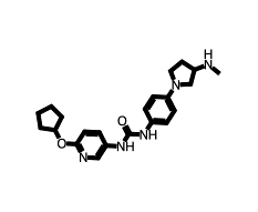 CNC1CCN(c2ccc(NC(=O)Nc3ccc(OC4CCCC4)nc3)cc2)C1